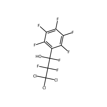 OC(F)(c1c(F)c(F)c(F)c(F)c1F)C(F)(F)C(Cl)(Cl)Cl